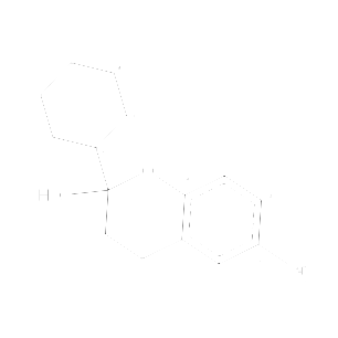 CC1(C2CCCCC2)CCc2cc(Br)ccc2O1